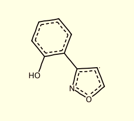 Oc1ccccc1-c1[c]con1